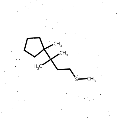 CSCCC(C)(C)C1(C)CCCC1